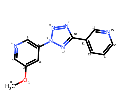 COc1cncc(-n2nnc(-c3cccnc3)n2)c1